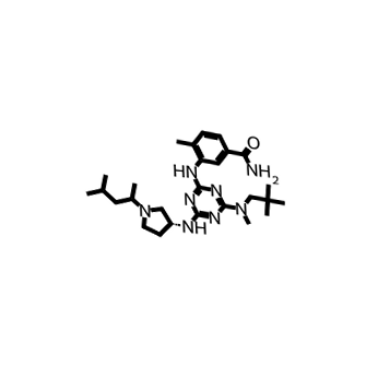 Cc1ccc(C(N)=O)cc1Nc1nc(N[C@@H]2CCN(C(C)CC(C)C)C2)nc(N(C)CC(C)(C)C)n1